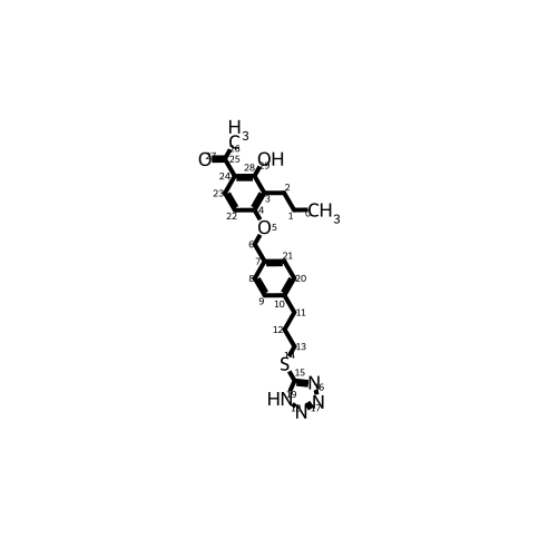 CCCc1c(OCc2ccc(CCCSc3nnn[nH]3)cc2)ccc(C(C)=O)c1O